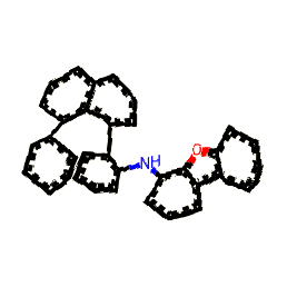 c1ccc(-c2cccc3cccc(-c4ccccc4Nc4cccc5c4oc4ccccc45)c23)cc1